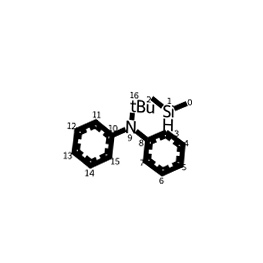 C[SiH](C)c1ccccc1N(c1ccccc1)C(C)(C)C